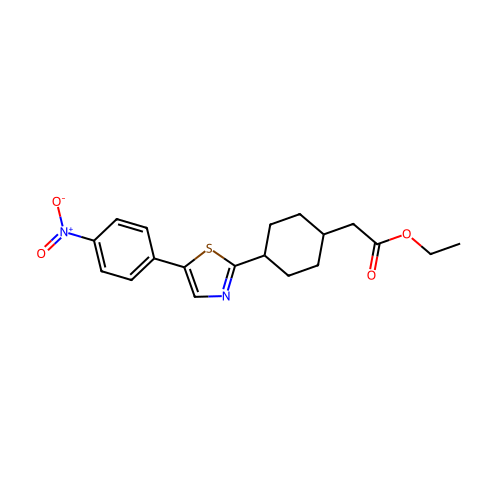 CCOC(=O)CC1CCC(c2ncc(-c3ccc([N+](=O)[O-])cc3)s2)CC1